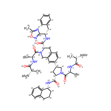 CN[C@@H](C)C(=O)NC(C(=O)N1C[C@@H](c2ccc3c(c2)CN(C(=O)[C@@H](NC(=O)[C@H](C)NC)C(C)(C)C)[C@H](C(=O)N[C@@H](Cc2ccccc2)c2noc(C)n2)C3)C[C@H]1C(=O)N[C@@H]1CCCc2ccccc21)C(C)(C)C